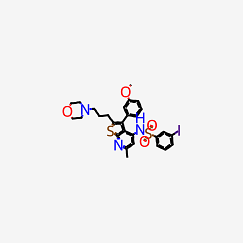 COc1cccc(-c2c(CCCN3CCOCC3)sc3nc(C)cc(NS(=O)(=O)c4cccc(I)c4)c23)c1